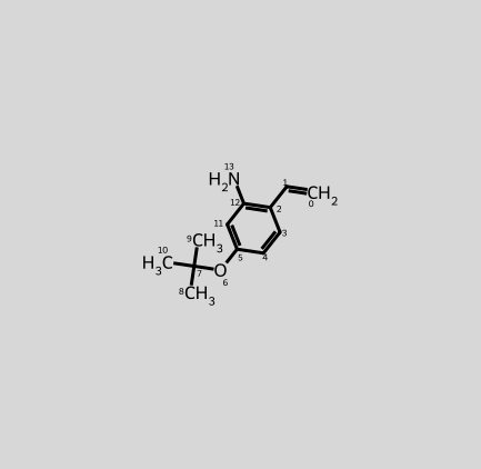 C=Cc1ccc(OC(C)(C)C)cc1N